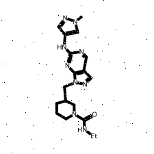 CCNC(=O)N1CCCC(Cn2ncc3cnc(Nc4cnn(C)c4)nc32)C1